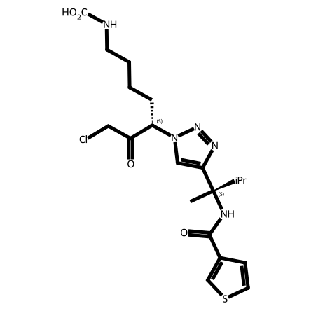 CC(C)[C@](C)(NC(=O)c1ccsc1)c1cn([C@@H](CCCCNC(=O)O)C(=O)CCl)nn1